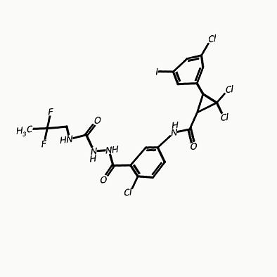 CC(F)(F)CNC(=O)NNC(=O)c1cc(NC(=O)C2C(c3cc(Cl)cc(I)c3)C2(Cl)Cl)ccc1Cl